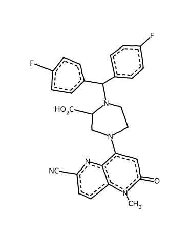 Cn1c(=O)cc(N2CCN(C(c3ccc(F)cc3)c3ccc(F)cc3)C(C(=O)O)C2)c2nc(C#N)ccc21